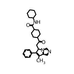 CC1=C(c2ccccc2)C(CC(=O)C2CCC(C(=O)NC3CCCCC3)CC2)n2cncc21